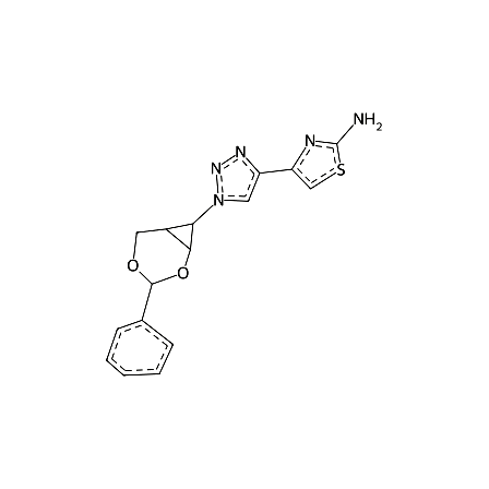 Nc1nc(-c2cn(C3C4COC(c5ccccc5)OC43)nn2)cs1